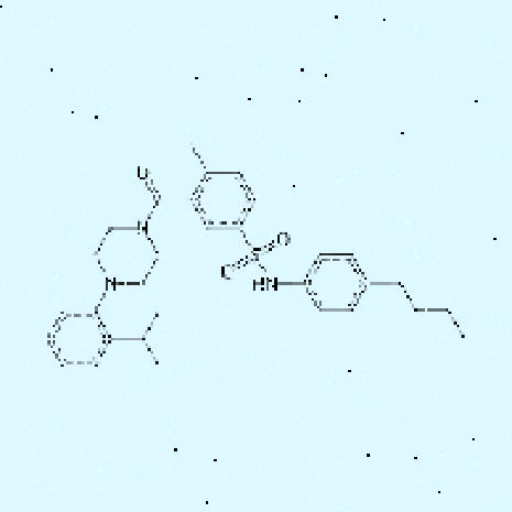 CCCCc1ccc(NS(=O)(=O)c2ccc(C)c(C(=O)N3CCN(c4ccccc4C(C)C)CC3)c2)cc1